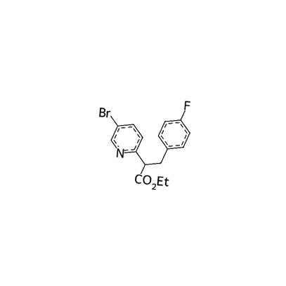 CCOC(=O)C(Cc1ccc(F)cc1)c1ccc(Br)cn1